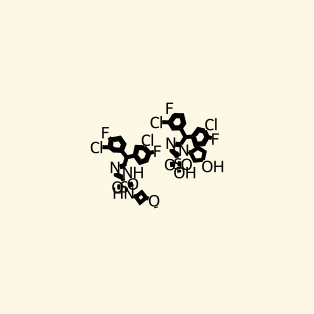 COC1CC(NS(=O)(=O)c2cnc(C(c3ccc(F)c(Cl)c3)c3ccc(F)c(Cl)c3)[nH]2)C1.O=S(=O)(O)c1cnc(C(c2ccc(F)c(Cl)c2)c2ccc(F)c(Cl)c2)n1C1CCC(O)C1